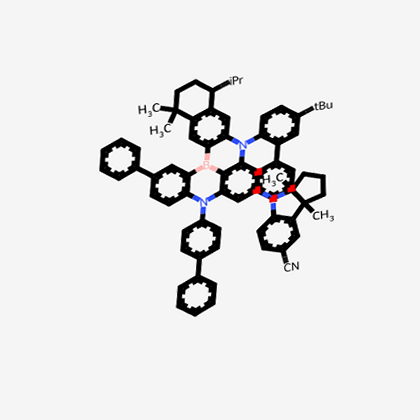 CC(C)C1CCC(C)(C)c2cc3c(cc21)N(c1ccc(C(C)(C)C)cc1-c1ccccc1)c1cc(N2c4ccc(C#N)cc4C4(C)CCCC24C)cc2c1B3c1cc(-c3ccccc3)ccc1N2c1ccc(-c2ccccc2)cc1